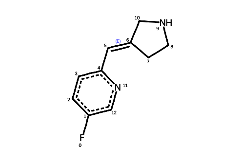 Fc1ccc(/C=C2\CCNC2)nc1